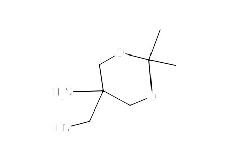 CC1(C)OCC(N)(CN)CO1